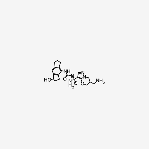 NCC1COc2c(S(N)(=O)=NC(=O)Nc3c4c(cc5c3CCC5O)CCC4)cnn2C1